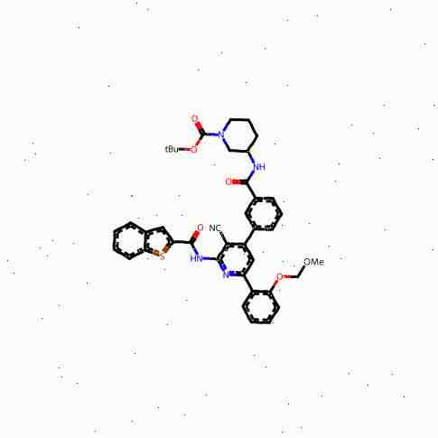 COCOc1ccccc1-c1cc(-c2cccc(C(=O)NC3CCCN(C(=O)OC(C)(C)C)C3)c2)c(C#N)c(NC(=O)c2cc3ccccc3s2)n1